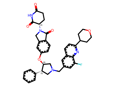 O=C1CC[C@H](N2Cc3cc(O[C@H]4CN(Cc5cc(F)c6nc(C7CCOCC7)ccc6c5)C[C@@H]4c4ccccc4)ccc3C2=O)C(=O)N1